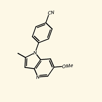 COc1cnc2cc(C)n(-c3ccc(C#N)cc3)c2c1